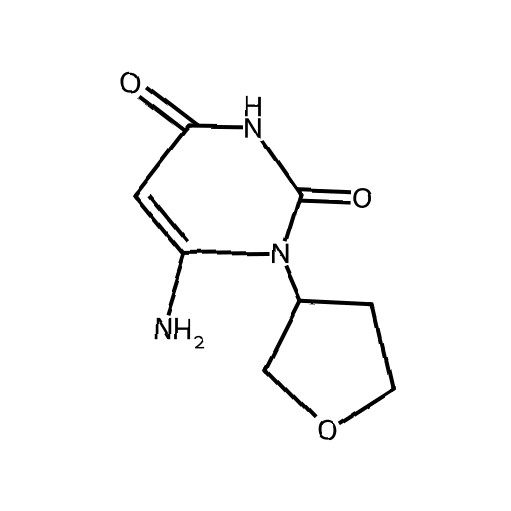 Nc1cc(=O)[nH]c(=O)n1C1CCOC1